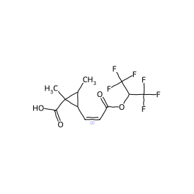 CC1C(/C=C\C(=O)OC(C(F)(F)F)C(F)(F)F)C1(C)C(=O)O